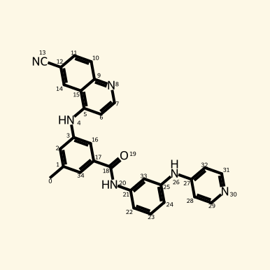 Cc1cc(Nc2ccnc3ccc(C#N)cc23)cc(C(=O)Nc2cccc(Nc3ccncc3)c2)c1